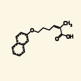 CC(=CCCCOc1ccc2ccccc2c1)C(=O)O